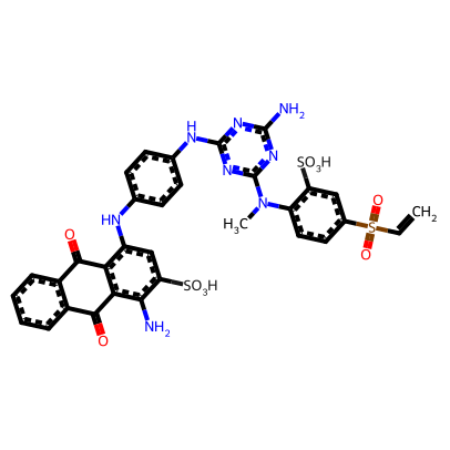 C=CS(=O)(=O)c1ccc(N(C)c2nc(N)nc(Nc3ccc(Nc4cc(S(=O)(=O)O)c(N)c5c4C(=O)c4ccccc4C5=O)cc3)n2)c(S(=O)(=O)O)c1